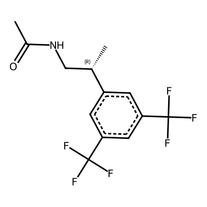 CC(=O)NC[C@H](C)c1cc(C(F)(F)F)cc(C(F)(F)F)c1